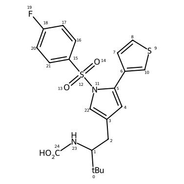 CC(C)(C)C(Cc1cc(-c2ccsc2)n(S(=O)(=O)c2ccc(F)cc2)c1)NC(=O)O